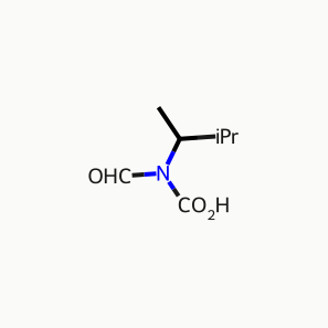 CC(C)C(C)N(C=O)C(=O)O